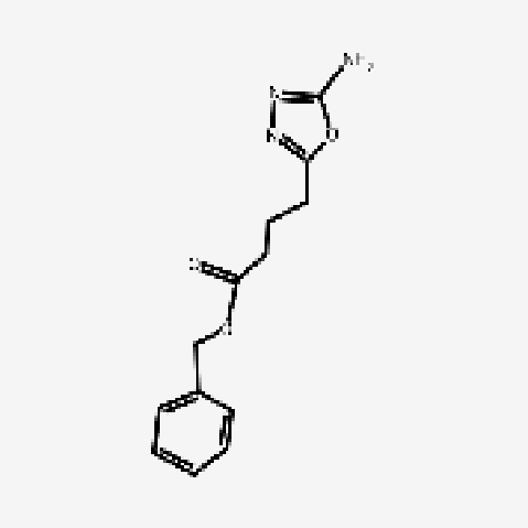 Nc1nnc(CCCC(=O)OCc2ccccc2)o1